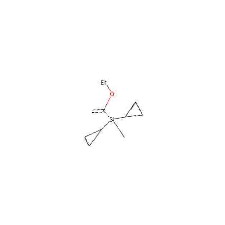 C=C(OCC)[Si](C)(C1CC1)C1CC1